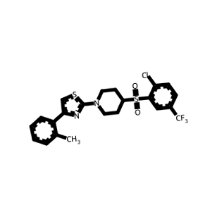 Cc1ccccc1-c1csc(N2CCC(S(=O)(=O)c3cc(C(F)(F)F)ccc3Cl)CC2)n1